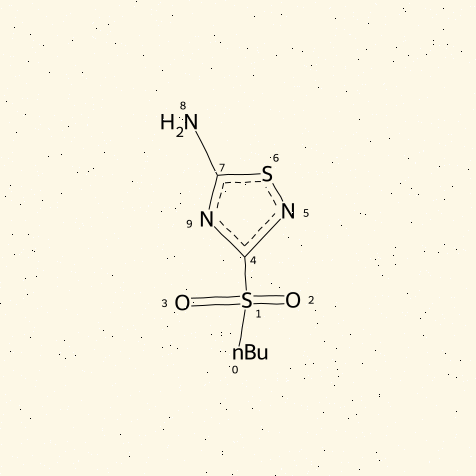 CCCCS(=O)(=O)c1nsc(N)n1